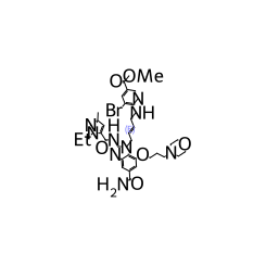 CCn1nc(C)cc1C(=O)Nc1nc2cc(C(N)=O)cc(OCCCN3CCOCC3)c2n1C/C=C/CNc1ncc(C(=O)OC)cc1Br